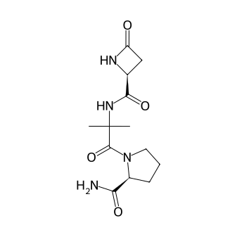 CC(C)(NC(=O)[C@@H]1CC(=O)N1)C(=O)N1CCC[C@H]1C(N)=O